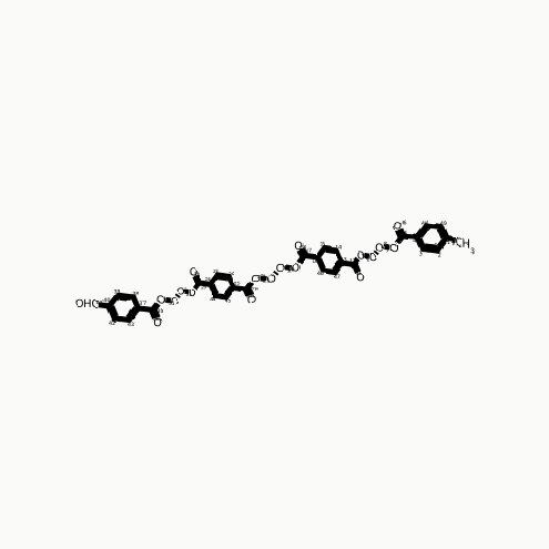 Cc1ccc(C(=O)OOOOC(=O)c2ccc(C(=O)OOOOC(=O)c3ccc(C(=O)OOOOC(=O)c4ccc(C=O)cc4)cc3)cc2)cc1